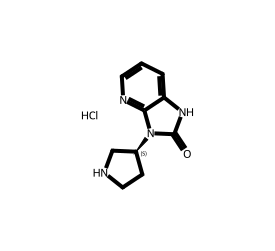 Cl.O=c1[nH]c2cccnc2n1[C@H]1CCNC1